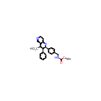 CC(C)(C)OC(=O)NCc1ccc(-c2nc3ccncc3c(C(=O)O)c2-c2ccccc2)cc1